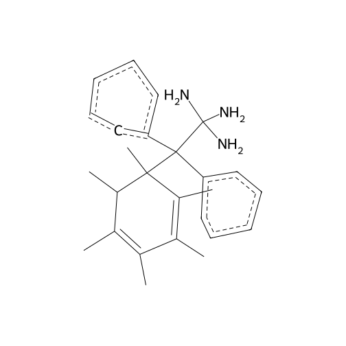 CC1=C(C)C(C)C(C)(C(c2ccccc2)(c2ccccc2)C(N)(N)N)C(C)=C1C